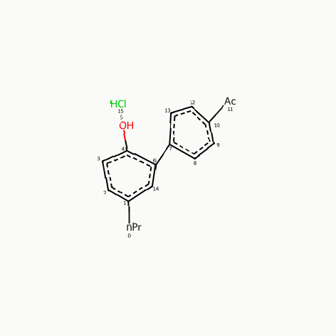 CCCc1ccc(O)c(-c2ccc(C(C)=O)cc2)c1.Cl